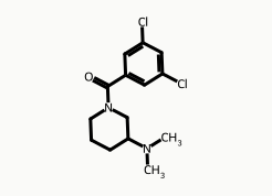 CN(C)C1CCCN(C(=O)c2cc(Cl)cc(Cl)c2)C1